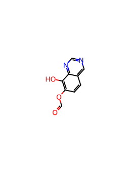 O=COc1ccc2cncnc2c1O